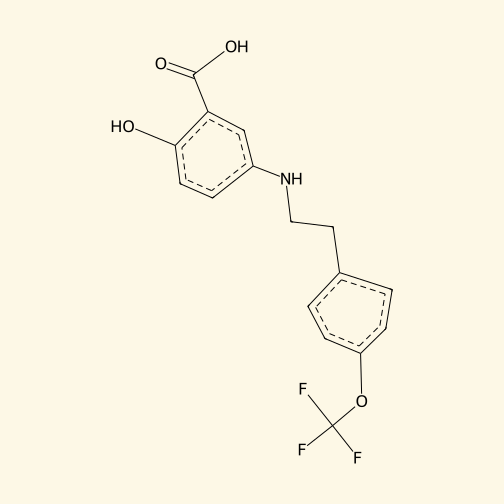 O=C(O)c1cc(NCCc2ccc(OC(F)(F)F)cc2)ccc1O